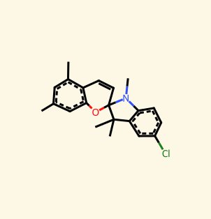 Cc1cc(C)c2c(c1)OC1(C=C2)N(C)c2ccc(Cl)cc2C1(C)C